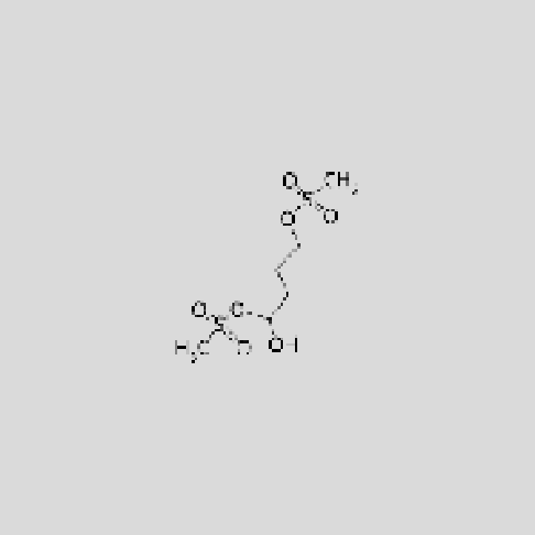 CS(=O)(=O)OCCCC(O)OS(C)(=O)=O